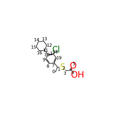 CC(SCC(=O)O)c1ccc(C2CCCCC2)c(Cl)c1